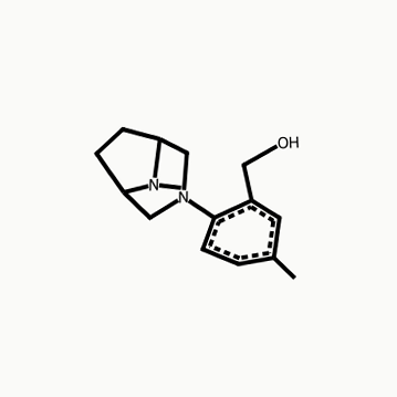 Cc1ccc(N2CC3CCC(C2)N3C)c(CO)c1